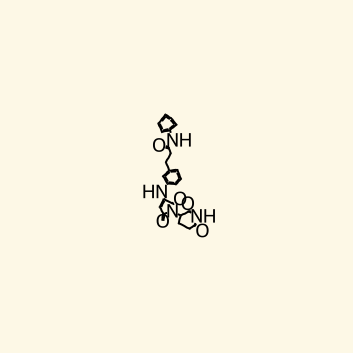 O=C1CCC(N2C(=O)C=C(Nc3cccc(CCC(=O)Nc4ccccc4)c3)C2=O)C(=O)N1